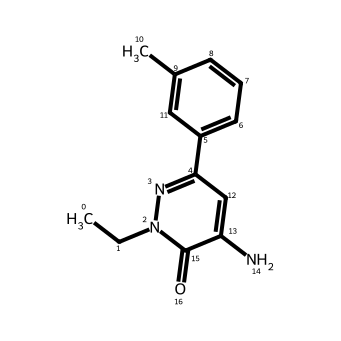 CCn1nc(-c2cccc(C)c2)cc(N)c1=O